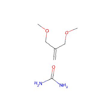 C=C(COC)COC.NC(N)=O